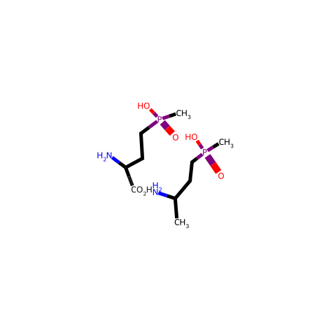 CC(N)CCP(C)(=O)O.CP(=O)(O)CCC(N)C(=O)O